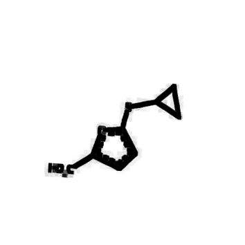 O=C(O)c1ccc(SC2CC2)o1